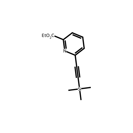 CCOC(=O)c1cccc(C#C[Si](C)(C)C)n1